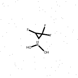 FC1CC1(F)F.OBO